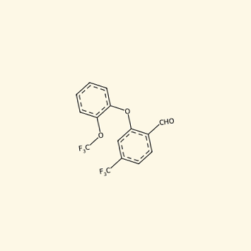 O=Cc1ccc(C(F)(F)F)cc1Oc1ccccc1OC(F)(F)F